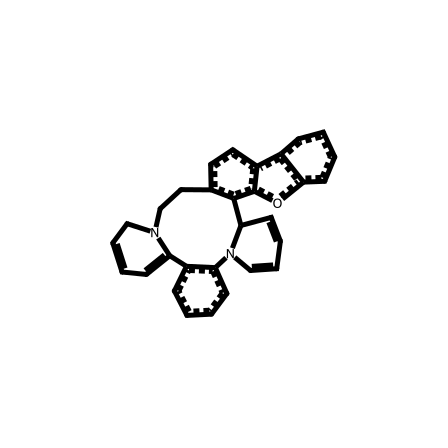 C1=CCN2CCc3ccc4c(oc5ccccc54)c3C3C=CC=CN3c3ccccc3C2=C1